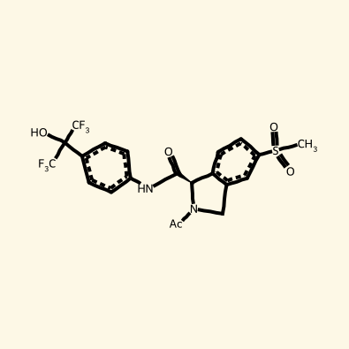 CC(=O)N1Cc2cc(S(C)(=O)=O)ccc2[C@@H]1C(=O)Nc1ccc(C(O)(C(F)(F)F)C(F)(F)F)cc1